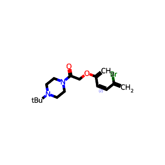 C=C(Br)/C=C\C(=C)OCC(=O)N1CCN(C(C)(C)C)CC1